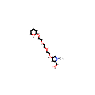 CN1C[C@H](OCCOCCOCCO[C@@H]2CCCCO2)C[C@@H]1CO